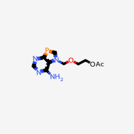 CC(=O)OCCOCn1cpc2ncnc(N)c21